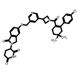 CC1(C)CCC(C(=O)N2CC(c3cncc(CSc4ccc5c(c4)CN(C4CCC(=O)NC4=O)C5=O)c3)C2)=C(c2ccc(Cl)cc2)C1